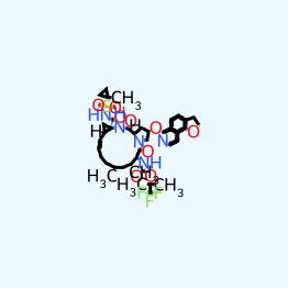 C[C@@H]1CC/C=C\[C@@H]2C[C@@]2(C(=O)NS(=O)(=O)C2(C)CC2)NC(=O)[C@@H]2C[C@@H](Oc3nccc4c5c(ccc34)CCO5)CN2C(=O)[C@@H](NC(=O)OC(C)(C)C(F)(F)F)[C@H](C)C1